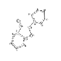 O=C1c2ccccc2OC1c1ccccc1